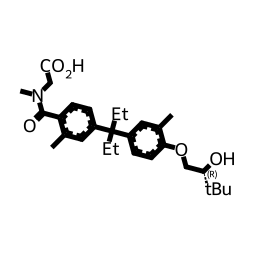 CCC(CC)(c1ccc(OC[C@H](O)C(C)(C)C)c(C)c1)c1ccc(C(=O)N(C)CC(=O)O)c(C)c1